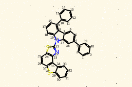 c1ccc(-c2ccc3c4c(-c5ccccc5)cccc4n(-c4nc5c(ccc6sc7ccccc7c65)s4)c3c2)cc1